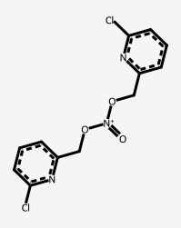 O=[N+](OCc1cccc(Cl)n1)OCc1cccc(Cl)n1